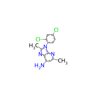 Cc1cc(N)c2nc(C)n(-c3ccc(Cl)cc3Cl)c2n1